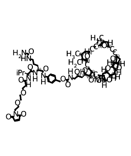 C=C1C[C@@H]2CC[C@@]34C[C@H]5O[C@@H]6C(O[C@H]7CC[C@H](CC(=O)C[C@H]8C(C[C@H]9O[C@@H](CC[C@@H]1O2)C[C@@H](C)C9=C)O[C@H](C[C@H](O)CNC(=O)OCc1ccc(NC(=O)[C@H](CCCNC(N)=O)NC(=O)[C@@H](NC(=O)CCOCCOCCN2C(=O)C=CC2=O)C(C)C)cc1)[C@@H]8OC)O[C@@H]7[C@@H]6O3)[C@@H]5O4